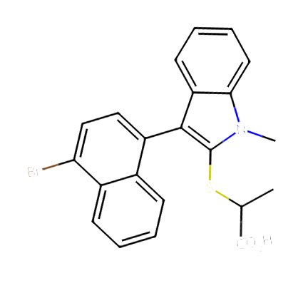 CC(Sc1c(-c2ccc(Br)c3ccccc23)c2ccccc2n1C)C(=O)O